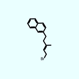 C/C(=C\CBr)CCc1ccc2ccccc2c1